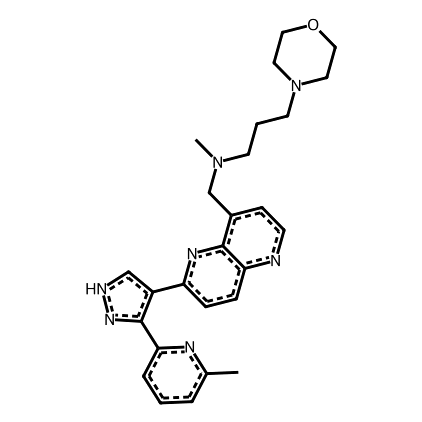 Cc1cccc(-c2n[nH]cc2-c2ccc3nccc(CN(C)CCCN4CCOCC4)c3n2)n1